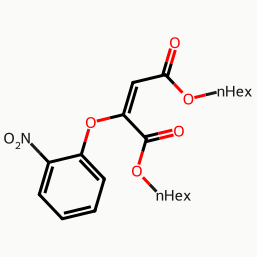 CCCCCCOC(=O)C=C(Oc1ccccc1[N+](=O)[O-])C(=O)OCCCCCC